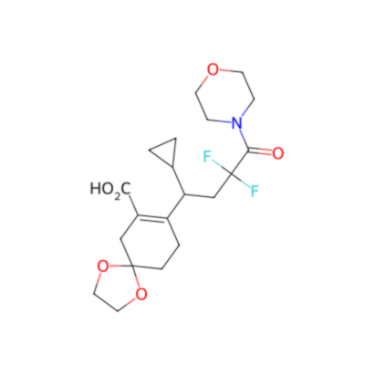 O=C(O)C1=C(C(CC(F)(F)C(=O)N2CCOCC2)C2CC2)CCC2(C1)OCCO2